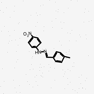 Cc1ccc(C=NNc2ccc([N+](=O)[O-])cc2)cc1